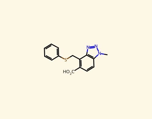 Cn1nnc2c(CSc3ccccc3)c(C(=O)O)ccc21